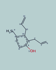 C=CCc1c(O)ccc([SiH3])c1CC=C